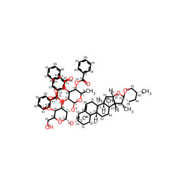 CC1O[C@@H](O[C@H]2C(OC(=O)c3ccccc3)[C@H](O)C(CO)O[C@H]2O[C@H]2CC[C@@]3(C)C(=CC[C@H]4[C@@H]5C[C@@H]6O[C@]7(CC[C@@H](C)CO7)[C@@H](C)[C@@H]6[C@@]5(C)CC[C@@H]43)C2)[C@@H](OC(=O)c2ccccc2)C(OC(=O)c2ccccc2)[C@H]1OC(=O)c1ccccc1